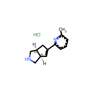 Cc1cccc(C2=C[C@H]3CNC[C@H]3C2)n1.Cl